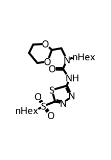 CCCCCCN(CC1OCCCO1)C(=O)Nc1nnc(S(=O)(=O)CCCCCC)s1